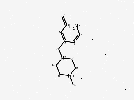 C=C/C=C(\C=C/N)CN1CCN(C)CC1